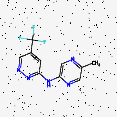 Cc1cnc(Nc2cc(C(F)(F)F)cnn2)cn1